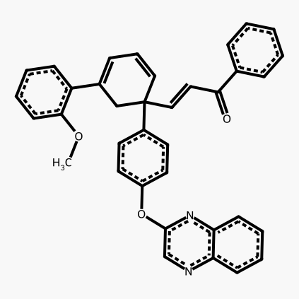 COc1ccccc1C1=CC=CC(C=CC(=O)c2ccccc2)(c2ccc(Oc3cnc4ccccc4n3)cc2)C1